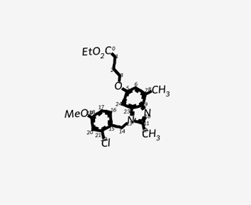 CCOC(=O)CCCOc1cc(C)c2nc(C)n(Cc3ccc(OC)cc3Cl)c2c1